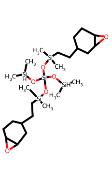 C[SiH](C)O[Si](O[SiH](C)C)(O[Si](C)(C)CCC1CCC2OC2C1)O[Si](C)(C)CCC1CCC2OC2C1